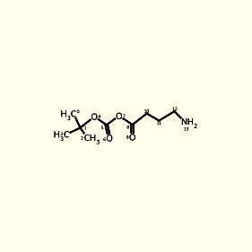 CC(C)(C)OC(=O)OC(=O)CCCN